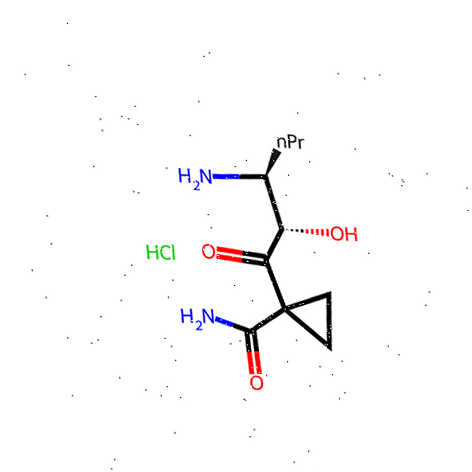 CCC[C@H](N)[C@H](O)C(=O)C1(C(N)=O)CC1.Cl